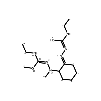 CCN/C(S)=N/N=C1\CCCCC1N(C)/N=C(/NCC)SC